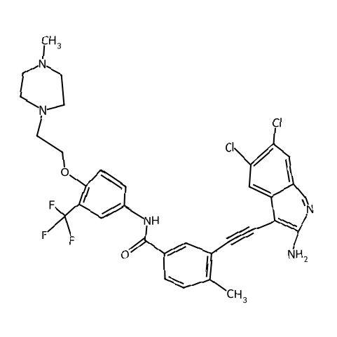 Cc1ccc(C(=O)Nc2ccc(OCCN3CCN(C)CC3)c(C(F)(F)F)c2)cc1C#Cc1c(N)ncc2cc(Cl)c(Cl)cc12